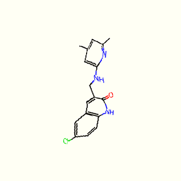 Cc1cc(C)nc(NCc2cc3cc(Cl)ccc3[nH]c2=O)c1